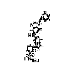 CC(C)(C)NS(=O)(=O)c1cccc(-c2ccc3cnc(Nc4ccc5c(c4)ncn5CCN4CCOCC4)nn23)c1